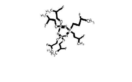 CC(F)CCP1(CCC(C)F)=NP(OCC(C)F)(OCC(C)F)=NP(OCC(C)F)(OCC(C)F)=N1